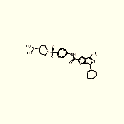 CB(O)N1CCN(S(=O)(=O)c2ccc(NC(=O)c3cc4c(C)nn(C5CCCCC5)c4s3)cc2)CC1